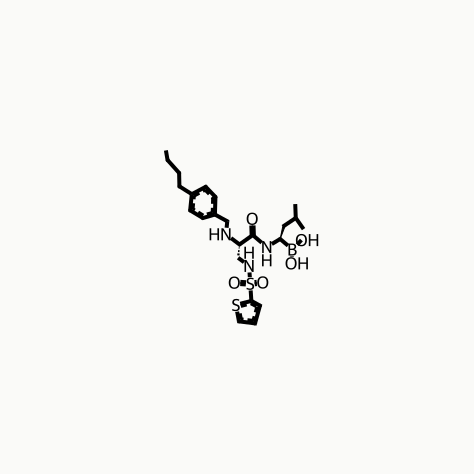 CCCCc1ccc(CN[C@@H](CNS(=O)(=O)c2cccs2)C(=O)N[C@@H](CC(C)C)B(O)O)cc1